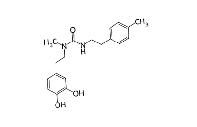 Cc1ccc(CCNC(=O)N(C)CCc2ccc(O)c(O)c2)cc1